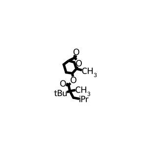 CC(C)CC(C)(C(=O)OC1CCC2CC1(C)OC2=O)C(C)(C)C